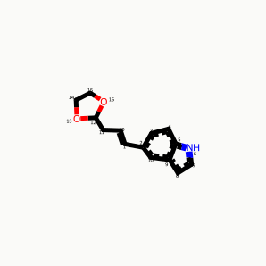 C(=C\c1ccc2[nH]ccc2c1)/CC1OCCO1